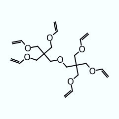 C=COCC(COC=C)(COC=C)COCC(COC=C)(COC=C)COC=C